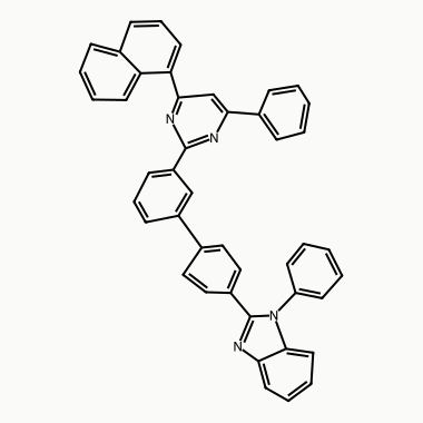 c1ccc(-c2cc(-c3cccc4ccccc34)nc(-c3cccc(-c4ccc(-c5nc6ccccc6n5-c5ccccc5)cc4)c3)n2)cc1